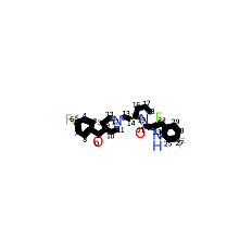 O=C(c1ccc(F)cc1)C1CCN(CC[C@@H]2CCCN2C(=O)c2[nH]c3cc(F)ccc3c2F)CC1